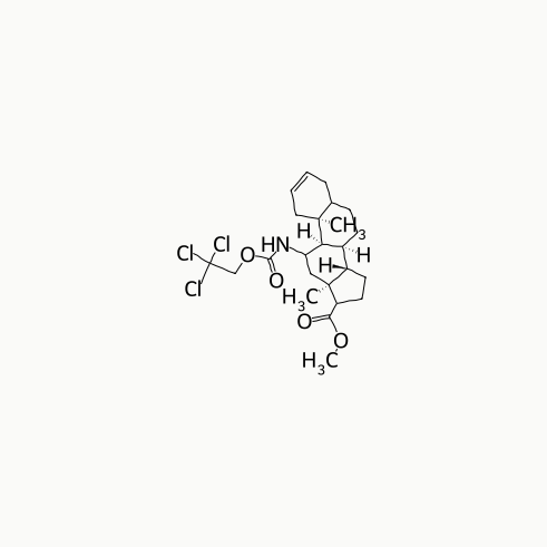 COC(=O)C1CC[C@H]2[C@@H]3CCC4CC=CC[C@]4(C)[C@@H]3C(NC(=O)OCC(Cl)(Cl)Cl)C[C@]12C